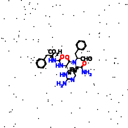 CC[C@H](C)[C@@H](C(N)=O)N(C(=O)C(NC(=O)N[C@@H](Cc1ccccc1)C(=O)O)[C@@H]1CCN=C(N)N1)C(C=O)Cc1ccccc1